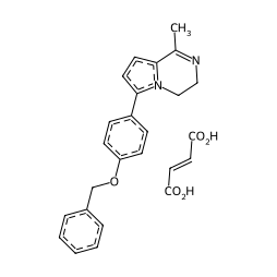 CC1=NCCn2c1ccc2-c1ccc(OCc2ccccc2)cc1.O=C(O)C=CC(=O)O